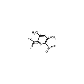 Cc1cc(C)c([N+](=O)[O-])cc1C(=O)Cl